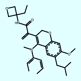 C=C(C(=O)NC1(CC)COC1)C1=C(N(C)C(/C=C\C)=C/C)c2cc(CC(C)C)c(OC)cc2OC1